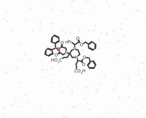 CCCC(C(=O)OCc1ccccc1)N1CCN(C(CCC(=O)O)C(=O)OCc2ccccc2)CC(CCC(=O)O)(N(CC(=O)OCc2ccccc2)CC(=O)OCc2ccccc2)C1